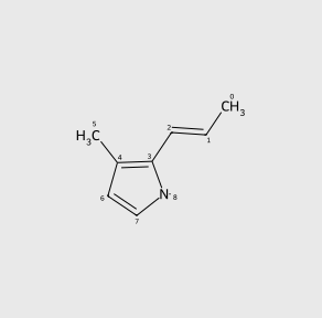 CC=CC1=C(C)C=C[N]1